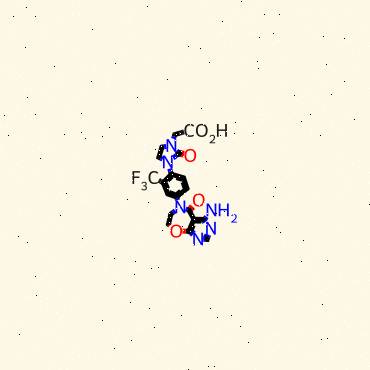 Nc1ncnc2c1C(=O)N(c1ccc(N3CCN(CC(=O)O)C3=O)c(C(F)(F)F)c1)CCO2